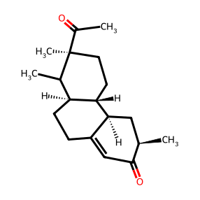 CC(=O)[C@@]1(C)CC[C@@H]2[C@H]3C[C@@H](C)C(=O)C=C3CC[C@H]2C1C